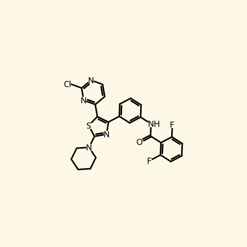 O=C(Nc1cccc(-c2nc(N3CCCCC3)sc2-c2ccnc(Cl)n2)c1)c1c(F)cccc1F